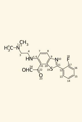 CN(C)CCNc1ccc2nc(-c3ccccc3F)sc2c1C(=O)C=O